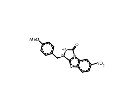 COc1ccc(C[C@H]2NC(=O)n3c2nc2ccc([N+](=O)[O-])cc23)cc1